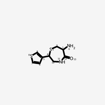 NC1CSC(c2ccsc2)CNC1=O